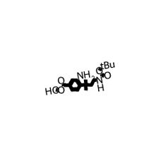 CC(C)(C)OC(=O)NCCC(C)(C)c1ccc(C(=O)OO)cc1N